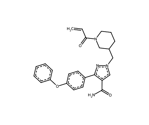 C=CC(=O)N1CCCC(Cn2cc(C(N)=O)c(-c3ccc(Oc4ccccc4)cc3)n2)C1